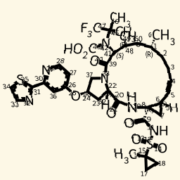 C[C@@H]1CCC=C[C@@H]2C[C@@]2(C(=O)NS(=O)(=O)C2(C)CC2)NC(=O)[C@@H]2C[C@@H](Oc3ccnc(-c4nccs4)c3)CN2C(=O)[C@@H](N(C(=O)O)C(C)(C)C(F)(F)F)[C@H](C)C1